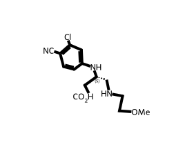 COCCNC[C@H](CC(=O)O)Nc1ccc(C#N)c(Cl)c1